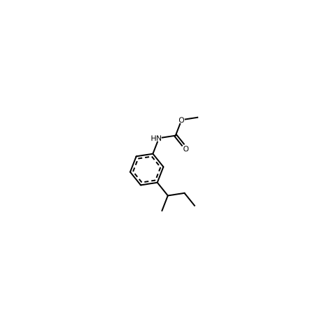 CCC(C)c1cccc(NC(=O)OC)c1